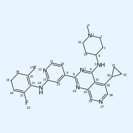 CN1CCC(Nc2nc(-c3ccnc(NC4=C(F)CCC=C4F)c3)nc3cncc(C4CC4)c23)CC1